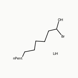 CCCCCCCCCCC(O)Br.[LiH]